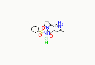 C[C@H](N)CCC(=O)C(NS(=O)(=O)C1CCCCC1)N1CCC[C@H]1C#N.Cl